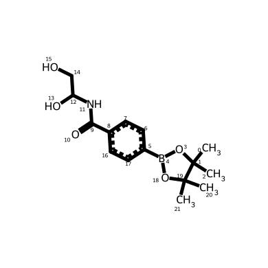 CC1(C)OB(c2ccc(C(=O)NC(O)CO)cc2)OC1(C)C